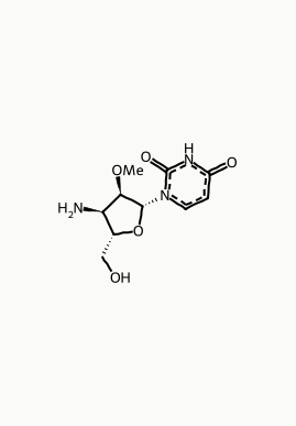 CO[C@@H]1[C@H](N)[C@@H](CO)O[C@H]1n1ccc(=O)[nH]c1=O